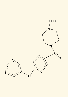 O=CN1CCN(C(=O)c2ccc(Oc3ccccc3)cc2)CC1